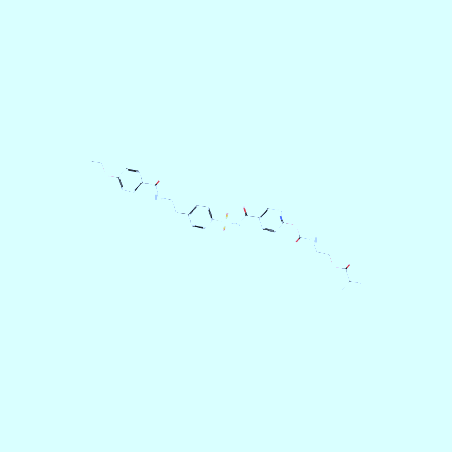 CCOc1ccc(C(=O)NCCc2ccc(S(=O)(=O)NC(=O)c3ccc(OC(=O)NCCOC(=O)C(C)C)nc3)cc2)cc1